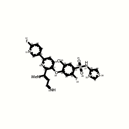 CN/C(=C\C=N)c1nc(-c2ccc(F)nc2)ccc1Oc1cc(F)c(S(=O)(=O)Nc2cscn2)cc1Cl